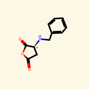 O=C1C[C@H](NCc2ccccc2)C(=O)O1